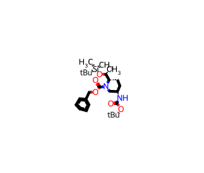 C[C@@H](O[Si](C)(C)C(C)(C)C)[C@@H]1CC[C@H](NC(=O)OC(C)(C)C)CN1C(=O)OCc1ccccc1